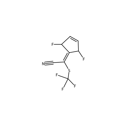 N#CC(SC(F)(F)F)=C1C(F)C=CC1F